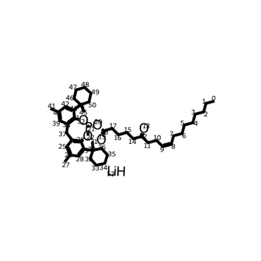 CCCCCCCC/C=C\CCC(=O)CCCCC(=O)OP1Oc2c(cc(C)cc2C2(C)CCCCC2)Cc2cc(C)cc(C3(C)CCCCC3)c2O1.[LiH]